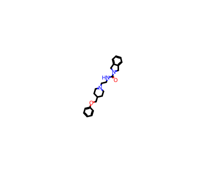 O=C(NCCN1CCC(COc2ccccc2)CC1)N1Cc2ccccc2C1